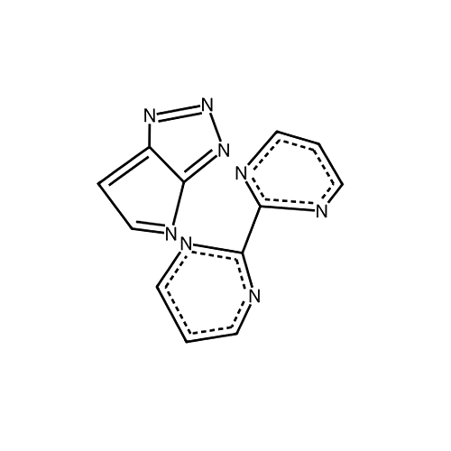 C1=NC2=NN=NC2=C1.c1cnc(-c2ncccn2)nc1